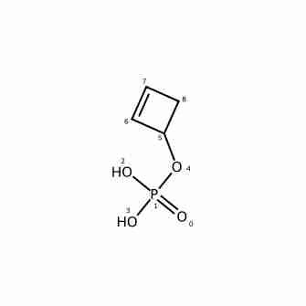 O=P(O)(O)OC1C=CC1